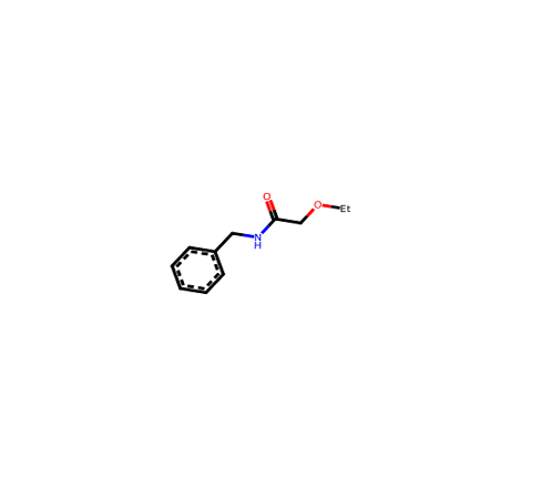 [CH2]COCC(=O)NCc1ccccc1